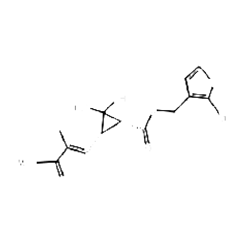 COC(=O)/C(F)=C/[C@H]1[C@@H](C(=O)OCc2ccoc2C(F)(F)F)C1(C)C